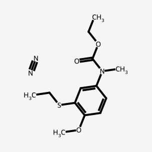 CCOC(=O)N(C)c1ccc(OC)c(SCC)c1.N#N